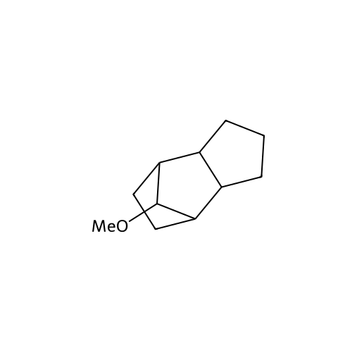 COC1C2CCC1C1CCCC12